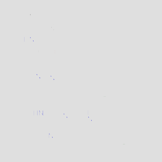 CC(C)NC(=O)Cn1cc(Nc2ncc(F)c(NCc3c(F)cccc3F)n2)cn1